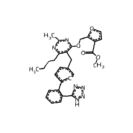 CCCCc1nc(C)nc(OCc2occc2C(=O)OC)c1Cc1ccc(-c2ccccc2-c2nnn[nH]2)cc1